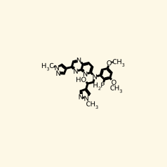 COc1cc(OC)c(P)c(N(CC(O)c2cnn(C)c2)c2ccc3ncc(-c4cnn(C)c4)nc3n2)c1